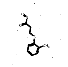 Cc1ccccc1SCCC(=O)N=O